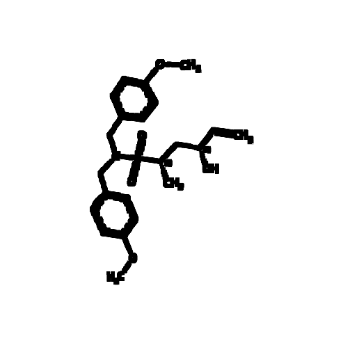 C=C[C@H](O)C[C@H](C)S(=O)(=O)N(Cc1ccc(OC)cc1)Cc1ccc(OC)cc1